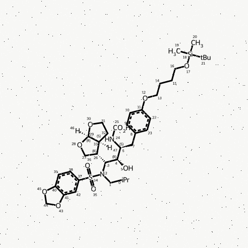 CC(C)CN(C([C@H](O)[C@H](Cc1ccc(OCCCCO[Si](C)(C)C(C)(C)C)cc1)NC(=O)O)[C@@H]1CO[C@H]2OCC[C@H]21)S(=O)(=O)c1ccc2c(c1)OCO2